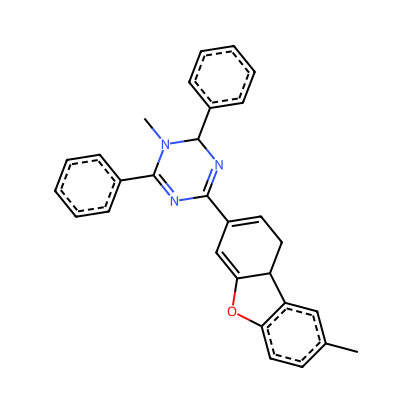 Cc1ccc2c(c1)C1CC=C(C3=NC(c4ccccc4)N(C)C(c4ccccc4)=N3)C=C1O2